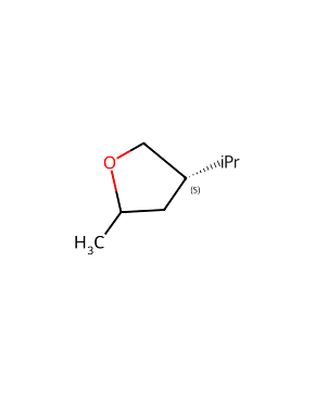 CC1C[C@@H](C(C)C)CO1